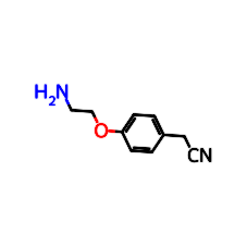 N#CCc1ccc(OCCN)cc1